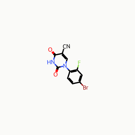 N#Cc1cn(-c2ccc(Br)cc2F)c(=O)[nH]c1=O